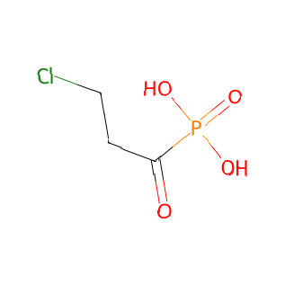 O=C(CCCl)P(=O)(O)O